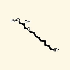 CC(C)CCCCCCCCCOCC(O)COC(C)C